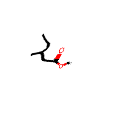 [CH]OC(=O)CC(C)CC